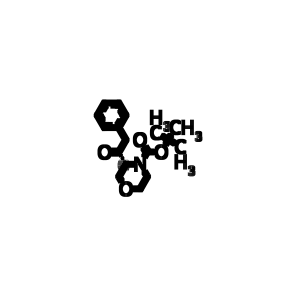 CC(C)(C)OC(=O)N1CCOC[C@@H]1C(=O)Cc1ccccc1